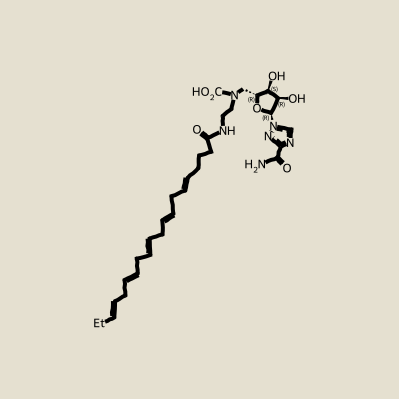 CCC=CCC=CCC=CCC=CCC=CCCCC(=O)NCCN(C[C@H]1O[C@@H](n2cnc(C(N)=O)n2)[C@H](O)[C@@H]1O)C(=O)O